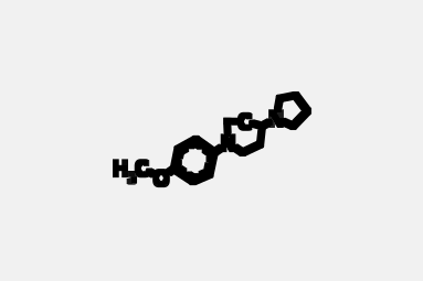 COc1ccc(N2CCC(N3CCCC3)CC2)cc1